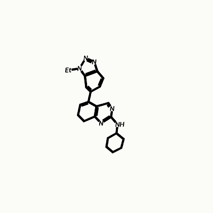 CCn1nnc2ccc(C3=CCCc4nc(NC5CCCCC5)ncc43)cc21